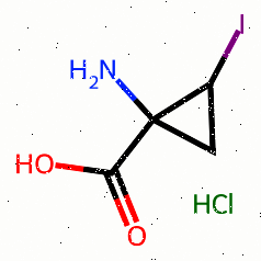 Cl.NC1(C(=O)O)CC1I